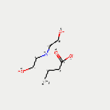 CCCC(=O)O.OCCNCCO